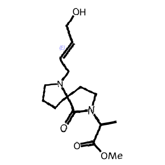 COC(=O)C(C)N1CCC2(CCCN2C/C=C/CO)C1=O